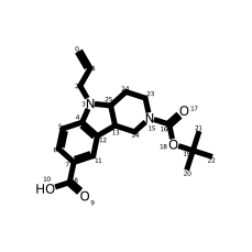 C=CCN1c2ccc(C(=O)O)cc2C2CN(C(=O)OC(C)(C)C)CCC21